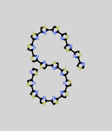 [c]1csc(-c2csc(-c3csc(-c4csc(-c5csc(-c6csc(-c7csc(-c8csc(-c9csc(-c%10csc(-c%11csc(-c%12csc(-c%13csc(-c%14csc(-c%15csc(-c%16csc(-c%17csc(-c%18csc(-c%19cscn%19)n%18)n%17)n%16)n%15)n%14)n%13)n%12)n%11)n%10)n9)n8)n7)n6)n5)n4)n3)n2)n1